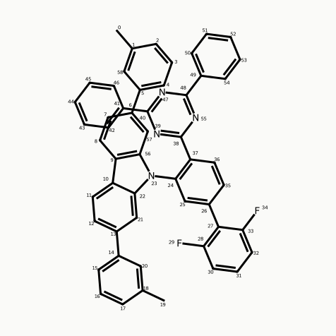 Cc1cccc(-c2ccc3c4ccc(-c5cccc(C)c5)cc4n(-c4cc(-c5c(F)cccc5F)ccc4-c4nc(-c5ccccc5)nc(-c5ccccc5)n4)c3c2)c1